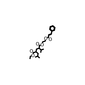 CCOC(=O)C(CC(C)C)CC(C(=O)OCCOC(=O)/C=C/c1ccccc1)C(C)C